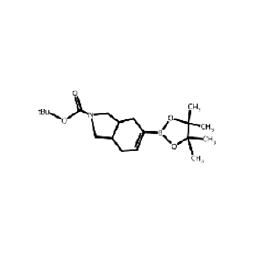 CC(C)(C)OC(=O)N1CC2CC=C(B3OC(C)(C)C(C)(C)O3)CC2C1